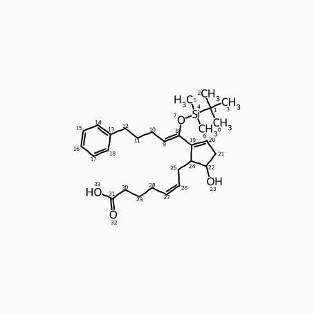 CC(C)(C)[Si](C)(C)OC(=CCCCc1ccccc1)C1=CCC(O)C1C/C=C\CCCC(=O)O